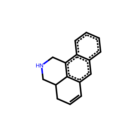 C1=Cc2cc3ccccc3c3c2C(C1)CNC3